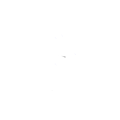 O=C(c1ccccn1)[C@]12Cc3cnn(-c4ccccc4)c3C=C1CCN(S(=O)(=O)c1cccc(C(F)(F)F)c1)C2